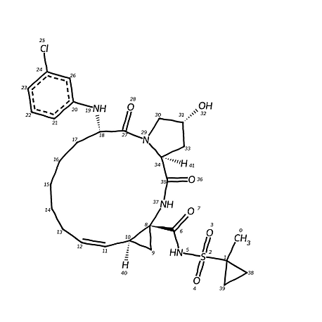 CC1(S(=O)(=O)NC(=O)[C@@]23C[C@H]2/C=C\CCCCC[C@H](Nc2cccc(Cl)c2)C(=O)N2C[C@H](O)C[C@H]2C(=O)N3)CC1